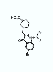 CC(C)C(=O)Nc1ccc(Br)cc1C(=O)NC[C@H]1CCCN(C(=O)O)C1